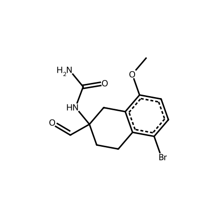 COc1ccc(Br)c2c1CC(C=O)(NC(N)=O)CC2